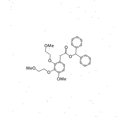 COCCOc1c([CH]C(=O)OC(c2ccccc2)c2ccccc2)ccc(OC)c1OCCOC